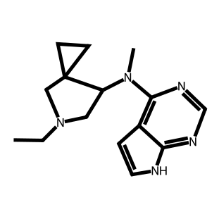 CCN1CC(N(C)c2ncnc3[nH]ccc23)C2(CC2)C1